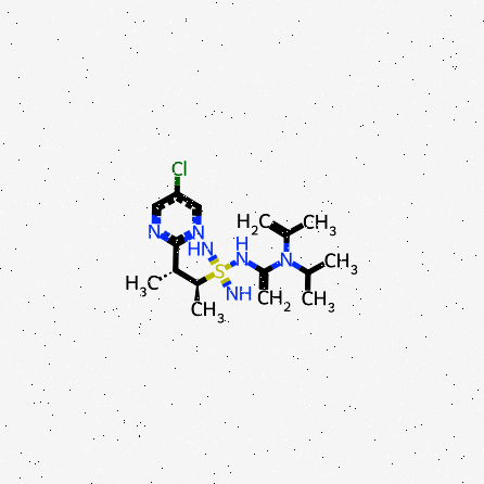 C=C(C)N(C(=C)NS(=N)(=N)[C@@H](C)[C@H](C)c1ncc(Cl)cn1)C(C)C